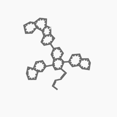 C/C=C\C=C/c1cc(-c2ccc3ccccc3c2)c2cc(-c3ccc4c(c3)sc3ccc5ccccc5c34)ccc2c1-c1ccc2ccccc2c1